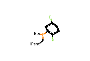 CCCC(C)CP(CC)c1cc(F)ccc1F